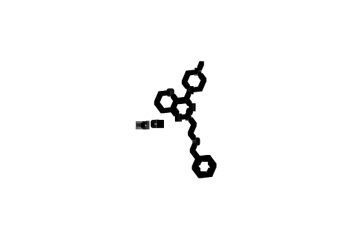 CN1CCN(C2=C3OCCCC3=NS(CCOCc3ccccc3)=N2)CC1.Cl.Cl